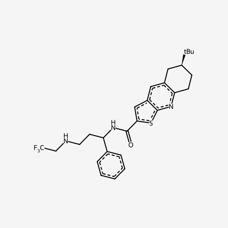 CC(C)(C)[C@H]1CCc2nc3sc(C(=O)NC(CCNCC(F)(F)F)c4ccccc4)cc3cc2C1